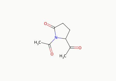 CC(=O)C1CCC(=O)N1C(C)=O